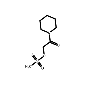 CS(=O)(=O)OCC(=O)N1CCCCC1